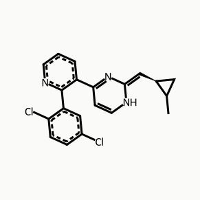 CC1C[C@@H]1/C=C1/N=C(c2cccnc2-c2cc(Cl)ccc2Cl)C=CN1